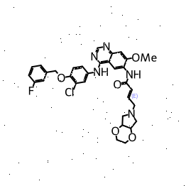 COc1cc2ncnc(Nc3ccc(OCc4cccc(F)c4)c(Cl)c3)c2cc1NC(=O)/C=C/CN1CC2OCCOC2C1